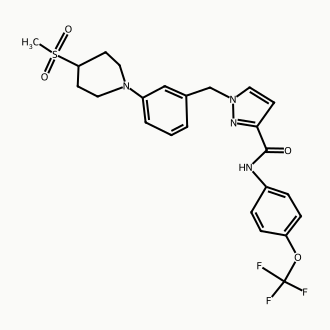 CS(=O)(=O)C1CCN(c2cccc(Cn3ccc(C(=O)Nc4ccc(OC(F)(F)F)cc4)n3)c2)CC1